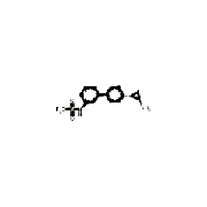 N[C@@H]1C[C@H]1c1ccc(-c2cccc(NS(=O)(=O)C(F)(F)F)c2)cc1